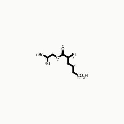 CCCCC(CC)COC(=O)C(CC)CCCC(=O)O